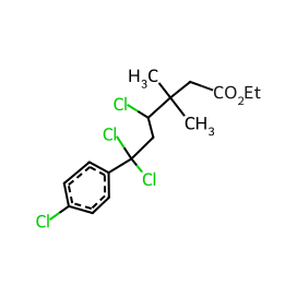 CCOC(=O)CC(C)(C)C(Cl)CC(Cl)(Cl)c1ccc(Cl)cc1